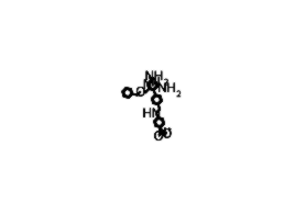 Nc1nc(N)c(-c2ccc(CNc3ccc([N+](=O)[O-])cc3)cc2)c(COCc2ccccc2)n1